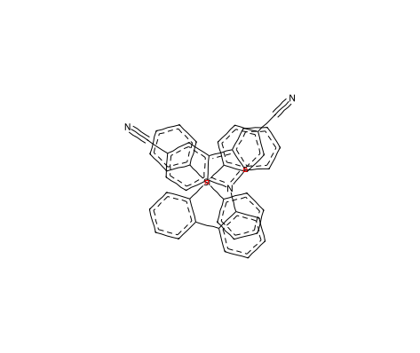 N#Cc1ccc([Si](c2ccccc2)(c2ccccc2)c2ccccc2-c2ccccc2-n2c3ccccc3c3cc(C#N)ccc32)cc1